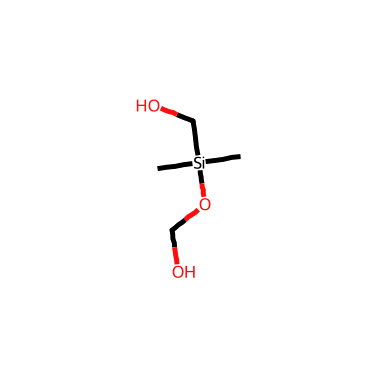 C[Si](C)(CO)OCO